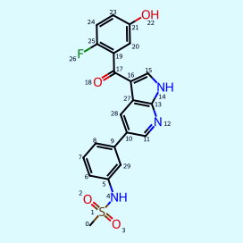 CS(=O)(=O)Nc1cccc(-c2cnc3[nH]cc(C(=O)c4cc(O)ccc4F)c3c2)c1